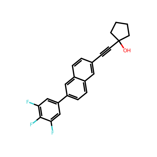 OC1(C#Cc2ccc3cc(-c4cc(F)c(F)c(F)c4)ccc3c2)CCCC1